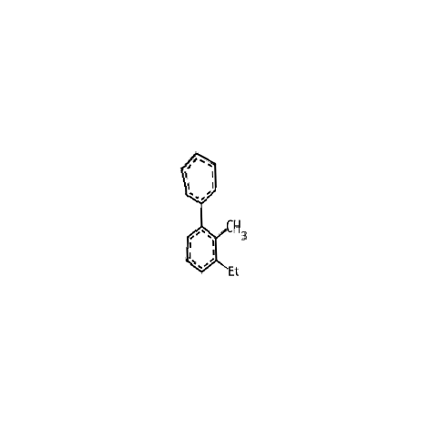 CCc1cccc(-c2ccccc2)c1C